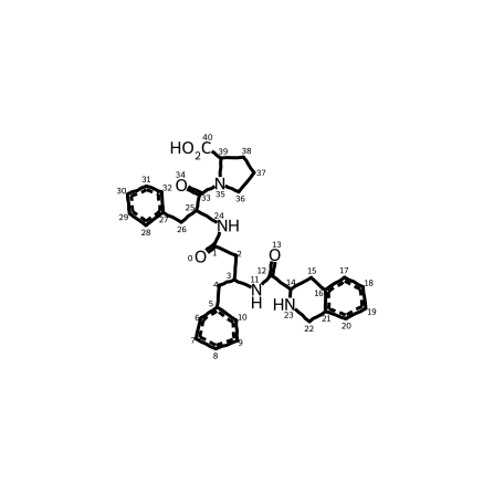 O=C(CC(Cc1ccccc1)NC(=O)C1Cc2ccccc2CN1)NC(Cc1ccccc1)C(=O)N1CCCC1C(=O)O